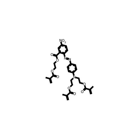 C=C(C)C(=O)OCCOC(=O)c1cc([N+](=O)[O-])ccc1N=Nc1ccc(N(CCOC(=O)C(=C)C)CCOC(=O)C(=C)C)cc1